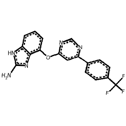 Nc1nc2c(Oc3cc(-c4ccc(C(F)(F)F)cc4)ncn3)cccc2[nH]1